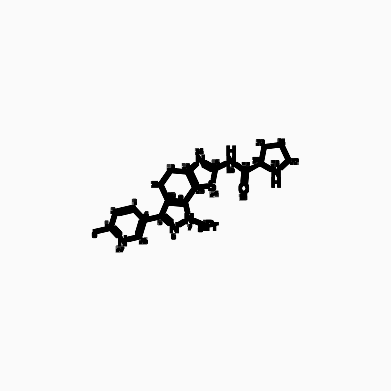 Cc1ccc(-c2nn(C(C)C)c3c2CCc2nc(NC(=O)[C@H]4CCCN4)sc2-3)cn1